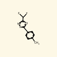 Cc1ccc(-c2nnc(C(F)F)o2)cc1